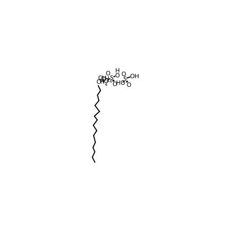 C.C.C.CCCCCCCCCCCCCCCC.O=S(=O)(O)O.O=S(=O)(O)O